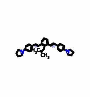 CC(C)Cc1c(/C=C/c2ccc(N3CCCC3)cc2)cccc1/C=C/c1ccc(N2CCCC2)cc1